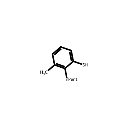 CCCCCc1c(C)cccc1S